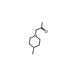 CC(=O)CN1CCC(F)CC1